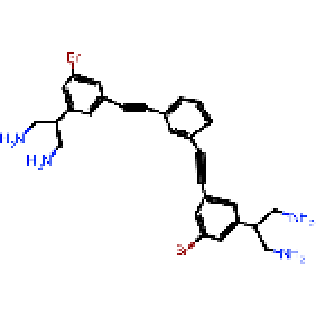 NCC(CN)c1cc(Br)cc(C#Cc2cccc(C#Cc3cc(Br)cc(C(CN)CN)c3)c2)c1